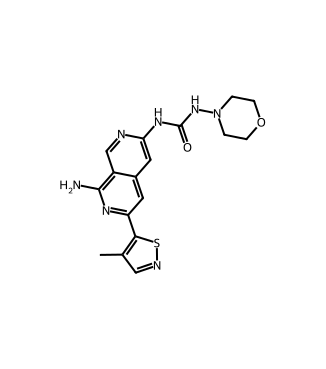 Cc1cnsc1-c1cc2cc(NC(=O)NN3CCOCC3)ncc2c(N)n1